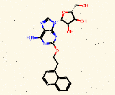 Nc1nc(OCCc2cccc3ccccc23)nc2c1ncn2[C@@H]1O[C@H](CO)C(O)C1O